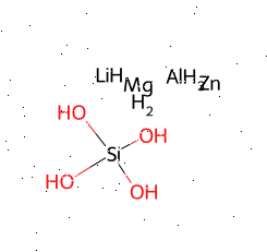 O[Si](O)(O)O.[AlH3].[LiH].[MgH2].[Zn]